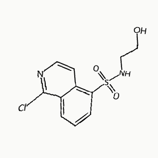 O=S(=O)(NCCO)c1cccc2c(Cl)nccc12